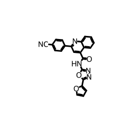 N#Cc1ccc(-c2cc(C(=O)Nc3nnc(-c4ccco4)o3)c3ccccc3n2)cc1